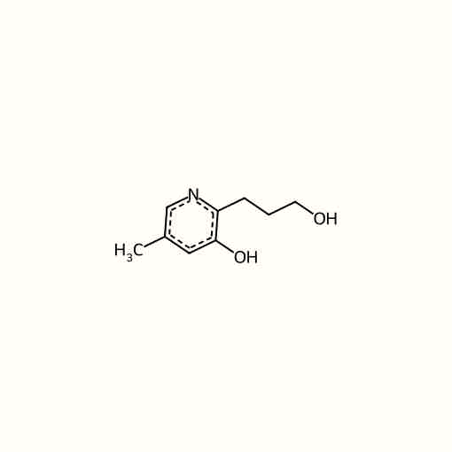 Cc1cnc(CCCO)c(O)c1